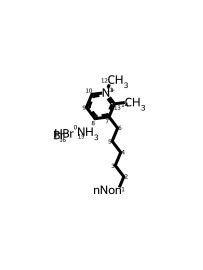 Br.CCCCCCCCCCCCCCc1ccc[n+](C)c1C.N.[Br-]